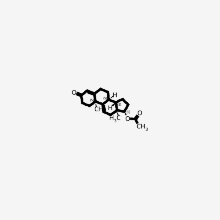 CC(=O)O[C@H]1CC[C@H]2[C@@H]3CCC4=CC(=O)CC[C@]4(C)C3=CC[C@]12C